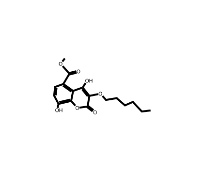 CCCCCCOc1c(O)c2c(C(=O)OC)ccc(O)c2oc1=O